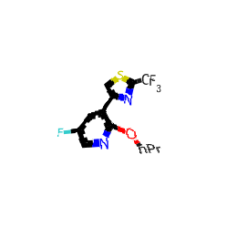 CCCOc1ncc(F)cc1-c1csc(C(F)(F)F)n1